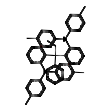 CCC(c1ccccc1)(c1ccccc1N(c1ccc(C)cc1)c1ccc(C)cc1)c1ccccc1N(c1ccc(C)cc1)c1ccc(C)cc1